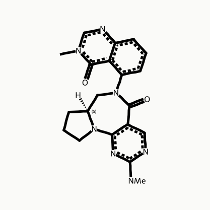 CNc1ncc2c(n1)N1CCC[C@H]1CN(c1cccc3ncn(C)c(=O)c13)C2=O